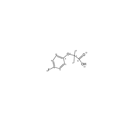 CC(C)(Oc1ccc(F)cc1)C(=O)O